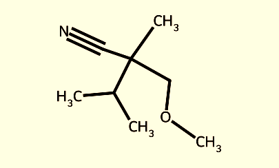 COCC(C)(C#N)C(C)C